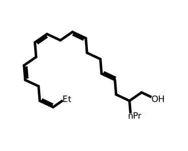 CC/C=C\C/C=C\C/C=C\C/C=C\CC/C=C/CC(CO)CCC